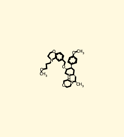 COCCCN1CCOc2ccc(CO[C@H]3CN[C@@H](C[C@@H](C)N4CCOCC4)C[C@@H]3c3ccc(OC)cc3)cc21